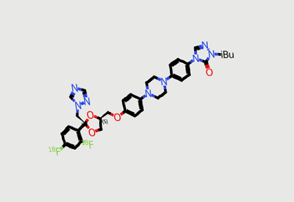 CCC(C)n1ncn(-c2ccc(N3CCN(c4ccc(OC[C@H]5CO[C@](Cn6cncn6)(c6ccc([18F])cc6[18F])O5)cc4)CC3)cc2)c1=O